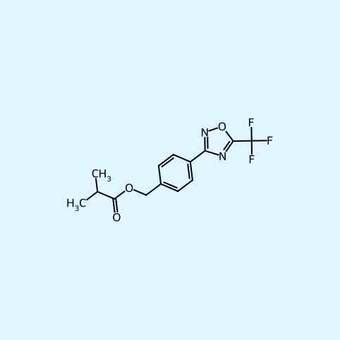 CC(C)C(=O)OCc1ccc(-c2noc(C(F)(F)F)n2)cc1